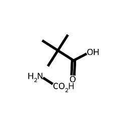 CC(C)(C)C(=O)O.NC(=O)O